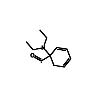 CCN(CC)C1([C]=O)C=CC=CC1